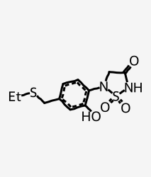 CCSCc1ccc(N2CC(=O)NS2(=O)=O)c(O)c1